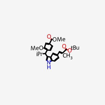 COC(=O)c1ccc(C(c2c[nH]c3ccc(/C=C(\C)C(=O)OC(C)(C)C)cc23)C(C)C)c(OC)c1